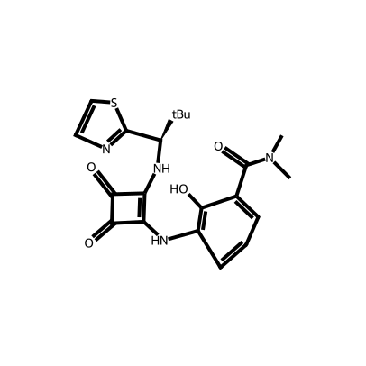 CN(C)C(=O)c1cccc(Nc2c(N[C@@H](c3nccs3)C(C)(C)C)c(=O)c2=O)c1O